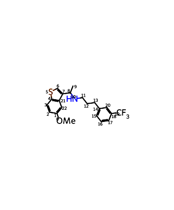 COc1ccc2scc(C(C)NCCCc3cccc(C(F)(F)F)c3)c2c1